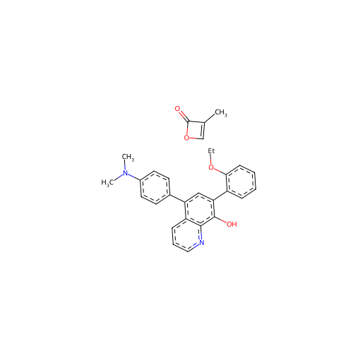 CC1=COC1=O.CCOc1ccccc1-c1cc(-c2ccc(N(C)C)cc2)c2cccnc2c1O